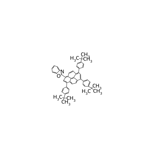 CC(C)(C)c1ccc(-c2cc(-c3ccc(C(C)(C)C)cc3)c3ccc4c(-c5nc6ccccc6o5)cc(-c5ccc(C(C)(C)C)cc5)c5ccc2c3c54)cc1